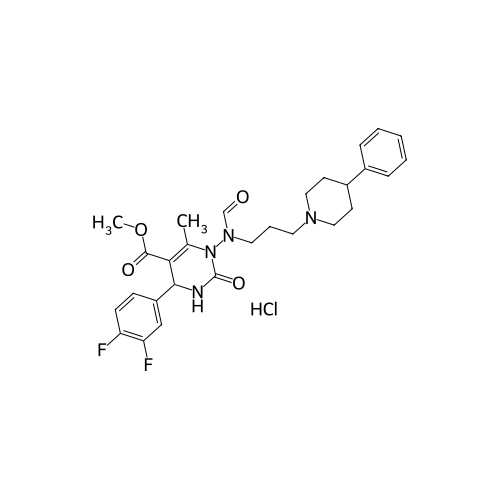 COC(=O)C1=C(C)N(N(C=O)CCCN2CCC(c3ccccc3)CC2)C(=O)NC1c1ccc(F)c(F)c1.Cl